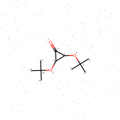 CC(C)(C)OC1C(=O)C1OC(C)(C)C